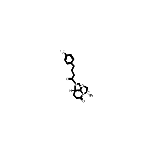 CC(C)[C@H]1CO[C@]23CCN(C(=O)CCCc4ccc(C(F)(F)F)cc4)C[C@H]2CCC(=O)N13